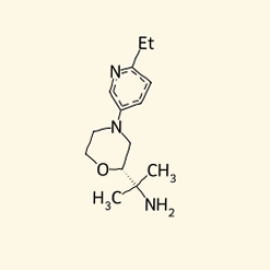 CCc1ccc(N2CCO[C@@H](C(C)(C)N)C2)cn1